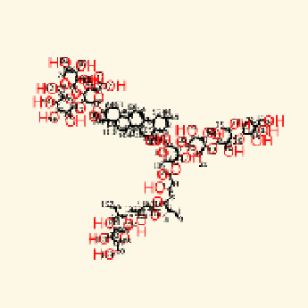 CC[C@H](C)[C@H](C[C@H](O)CC(=O)O[C@@H]1[C@H](O)[C@@H](O[C@@H]2O[C@@H](C)[C@H](O[C@@H]3OC[C@@H](O)[C@H](O[C@@H]4CC[C@](O)(CO)[C@H]4O)[C@H]3O)[C@@H](O)[C@H]2O)[C@H](OC(=O)[C@]23CCC(C)(C)CC2C2=CCC4[C@@]5(C)CC[C@H](O[C@@H]6O[C@H](C(=O)O)[C@@H](O)[C@H](O[C@@H]7OC[C@@H](O)[C@H](O)[C@H]7O)[C@H]6O[C@@H]6O[C@H](CO)[C@H](O)[C@H](O)[C@H]6O)[C@@](C)(C=O)C5CC[C@@]4(C)[C@]2(C)C[C@H]3O)O[C@@H]1C)OC(=O)C[C@@H](O)C[C@H](O[C@@H]1O[C@@H](CO)[C@H](O)[C@H]1O)[C@@H](C)CC